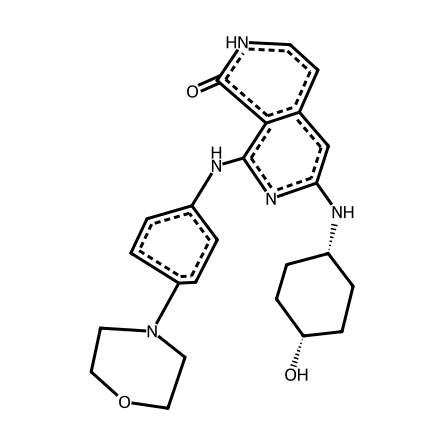 O=c1[nH]ccc2cc(N[C@H]3CC[C@@H](O)CC3)nc(Nc3ccc(N4CCOCC4)cc3)c12